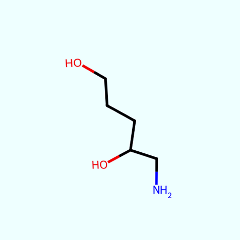 NCC(O)CCCO